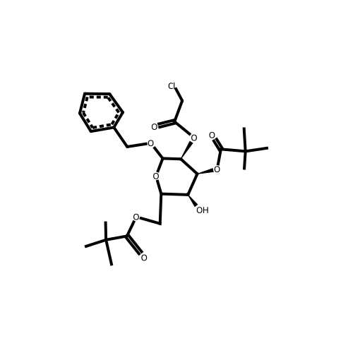 CC(C)(C)C(=O)OCC1OC(OCc2ccccc2)[C@@H](OC(=O)CCl)[C@@H](OC(=O)C(C)(C)C)[C@H]1O